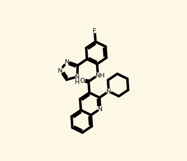 O=C(Nc1ccc(F)cc1-c1nnc[nH]1)c1cc2ccccc2nc1N1CCCCC1